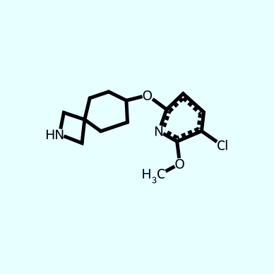 COc1nc(OC2CCC3(CC2)CNC3)ccc1Cl